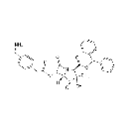 CC1(C)[C@H](C(=O)OC(c2ccccc2)c2ccccc2)N2C(=O)[C@@H](NC(=O)Cc3ccc(CN)cc3)[C@H]2[S@@+]1[O-]